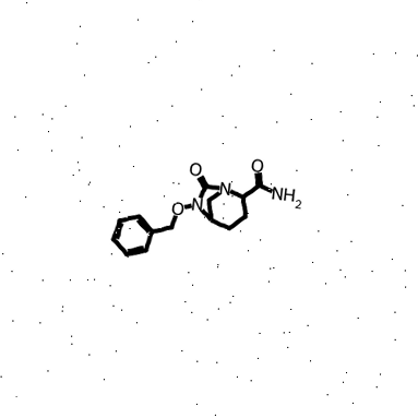 NC(=O)C1CCC2CN1C(=O)N2OCc1ccccc1